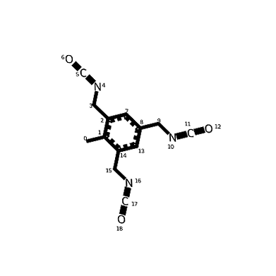 Cc1c(CN=C=O)cc(CN=C=O)cc1CN=C=O